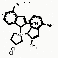 CC1=Cc2c(C(C)C)cccc2[CH]1[Zr+2]1([CH]2C(C)=Cc3c(C(C)C)cccc32)[CH2]CC[CH2]1.[Cl-].[Cl-]